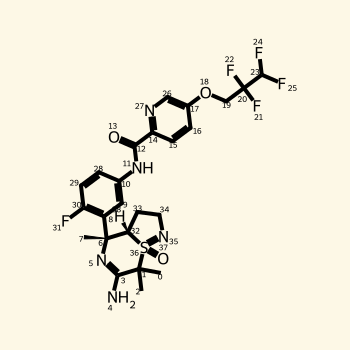 CC1(C)C(N)=N[C@](C)(c2cc(NC(=O)c3ccc(OCC(F)(F)C(F)F)cn3)ccc2F)[C@@H]2CCN=S21=O